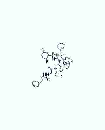 CC[C@@H](CN(C(=O)C1CCCO1)[C@@H](c1nc(-c2cc(F)ccc2F)nn1Cc1ccccc1)C(C)(C)C)[C@@H](F)CNC(=O)OCc1ccccc1